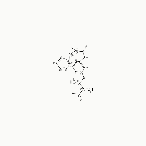 CC(C)[C@@H](O)[C@H](O)Cc1cccc(CC(C)[C@@H]2C[C@H]2c2ccccc2)c1